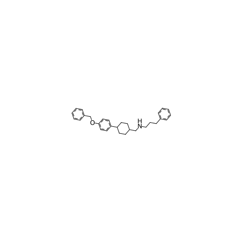 c1ccc(CCCNCC2CCC(c3ccc(OCc4ccccc4)cc3)CC2)cc1